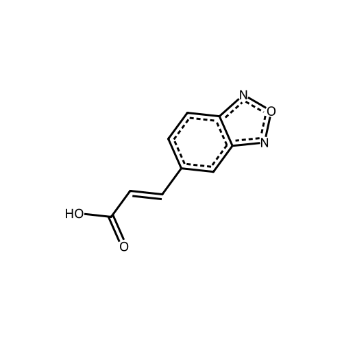 O=C(O)C=Cc1ccc2nonc2c1